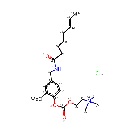 COc1cc(CNC(=O)CCCCC=CC(C)C)ccc1OC(=O)OCC[N+](C)(C)C.[Cl-]